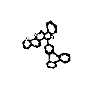 c1cnc2c(c1)ccc1c2ncc2c3ccccc3nc(-c3ccc4c5ccccc5c5ccccc5c4c3)c21